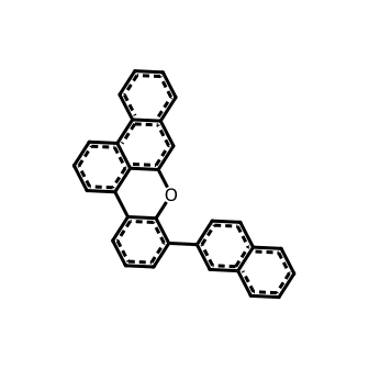 c1cc(-c2ccc3ccccc3c2)c2c(c1)-c1cccc3c1c(cc1ccccc13)O2